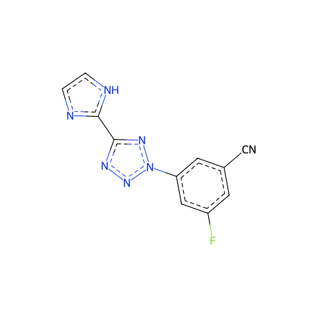 N#Cc1cc(F)cc(-n2nnc(-c3ncc[nH]3)n2)c1